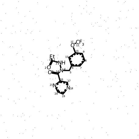 CCC(=O)NN(Cc1cccc(OC(F)(F)F)c1)C(=O)c1cnccn1